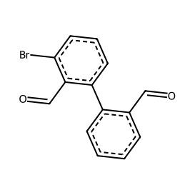 O=Cc1ccccc1-c1cccc(Br)c1C=O